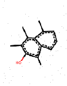 Cc1c(O)c(C)c2cccc(C)c2c1C